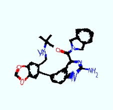 CC(C)(C)NCc1cc2c(cc1-c1ccc3nc(N)nc(C(=O)N4Cc5ccccc5C4)c3c1)OCO2